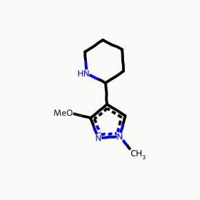 COc1nn(C)cc1C1CCCCN1